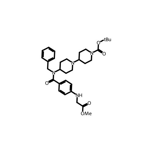 COC(=O)CNc1ccc(C(=O)N(Cc2ccccc2)C2CCN(C3CCN(C(=O)OC(C)(C)C)CC3)CC2)cc1